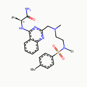 CCN(CCN(C)Cc1nc(N[C@H](C(N)=O)C(C)C)c2ccccc2n1)S(=O)(=O)c1ccc(C(C)(C)C)cc1